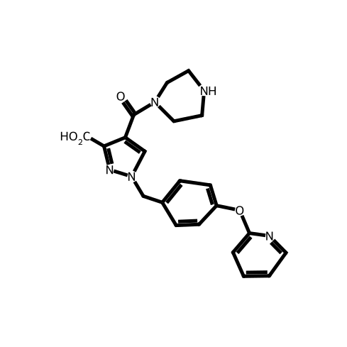 O=C(O)c1nn(Cc2ccc(Oc3ccccn3)cc2)cc1C(=O)N1CCNCC1